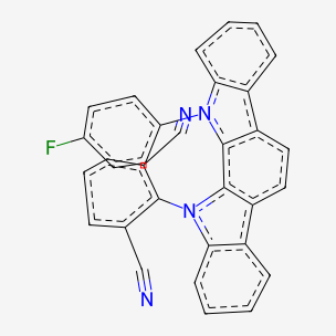 N#Cc1cccc(C#N)c1-n1c2ccccc2c2ccc3c4ccccc4n(-c4ccc(F)cc4)c3c21